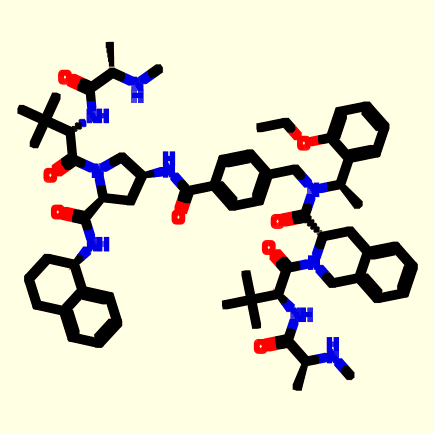 CCOc1ccccc1[C@@H](C)N(Cc1ccc(C(=O)N[C@H]2C[C@@H](C(=O)N[C@@H]3CCCc4ccccc43)N(C(=O)[C@@H](NC(=O)[C@H](C)NC)C(C)(C)C)C2)cc1)C(=O)[C@@H]1Cc2ccccc2CN1C(=O)[C@@H](NC(=O)[C@H](C)NC)C(C)(C)C